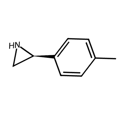 Cc1ccc([C@H]2CN2)cc1